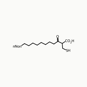 CCCCCCCCCCCCCCCCCC(=O)C(CS)C(=O)O